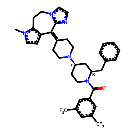 Cn1ccc2c1CCn1ccnc1C2=C1CCN([C@@H]2CCN(C(=O)c3cc(C(F)(F)F)cc(C(F)(F)F)c3)[C@H](Cc3ccccc3)C2)CC1